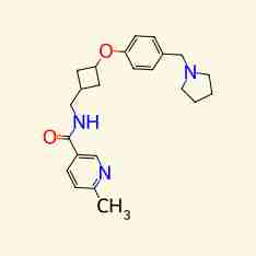 Cc1ccc(C(=O)NCC2CC(Oc3ccc(CN4CCCC4)cc3)C2)cn1